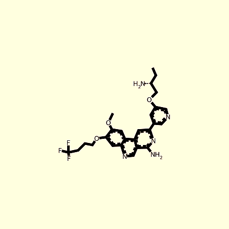 CC[C@@H](N)COc1cncc(-c2cc3c(cnc4cc(OCCCC(F)(F)F)c(OC)cc43)c(N)n2)c1